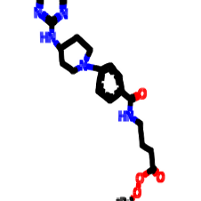 CC(C)(C)OOC(=O)CCCNC(=O)c1ccc(N2CCC(Nc3ncccn3)CC2)cc1